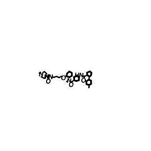 Cc1ccc(-c2ccccc2C(=O)Nc2ccc(C(=O)N(C)c3ccccc3OCCCCNC(=O)N3CCN(C)CC3)cc2)cc1